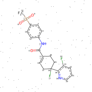 O=C(Nc1ccc(S(=O)(=O)C(F)(F)F)cc1)C1=CCC(F)(c2ncccc2F)CC1